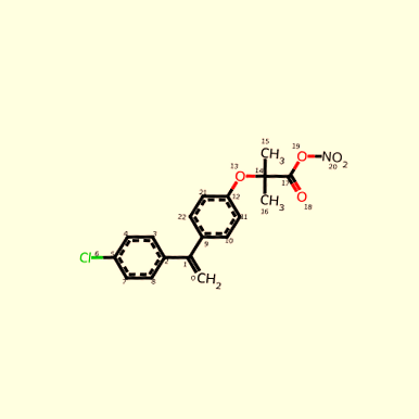 C=C(c1ccc(Cl)cc1)c1ccc(OC(C)(C)C(=O)O[N+](=O)[O-])cc1